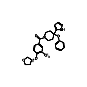 O=C(c1ccc(O[C@@H]2CCOC2)c(C(F)(F)F)c1)N1CCC(Oc2ccccc2)(c2ccc[nH]2)CC1